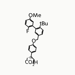 C=C[C@H](CC(=O)O)c1ccc(OCc2ccc(C(C)(C)C)c(-c3cc(OC)ccc3F)c2)cc1